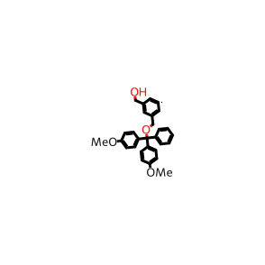 COc1ccc(C(OCc2c[c]cc(CO)c2)(c2ccccc2)c2ccc(OC)cc2)cc1